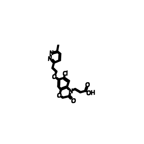 Cc1ccc(CCOc2cc3c(cc2Cl)N(CCC(=O)O)C(=O)CO3)nn1